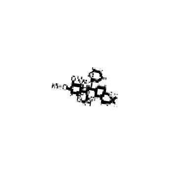 COc1cc2c(cc1OC)[C@@H]1[C@H](OC3CCCCO3)c3ccc4c(c3O[C@@H]1CO2)C=CC(C)(C)O4